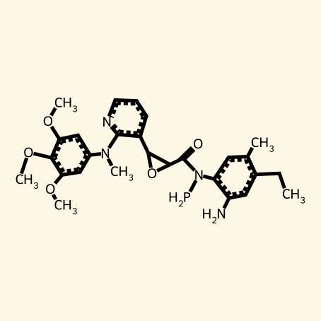 CCc1cc(N)c(N(P)C(=O)C2OC2c2cccnc2N(C)c2cc(OC)c(OC)c(OC)c2)cc1C